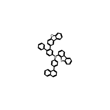 c1ccc(-c2ccc(N(c3ccc(-c4cccc5ccccc45)cc3)c3cccc4c3sc3ccccc34)cc2-c2ccc3oc4ccccc4c3c2)cc1